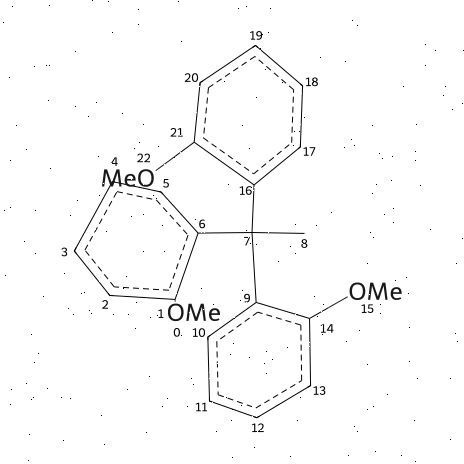 COc1ccccc1C(C)(c1ccccc1OC)c1ccccc1OC